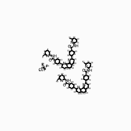 Cc1cccc(NC(=O)c2ccc(-c3ccc4ccc5ccc(-c6ccc(C(=O)Nc7cccc(C)n7)cc6)nc5c4n3)cc2)n1.Cc1cccc(NC(=O)c2ccc(-c3ccc4ccc5ccc(-c6ccc(C(=O)Nc7cccc(C)n7)cc6)nc5c4n3)cc2)n1.F[B-](F)(F)F.[Cu+]